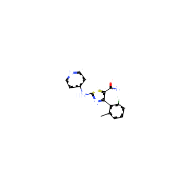 Cc1cccc(Cl)c1-c1nc(Nc2ccncc2)sc1C(N)=O